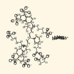 CC1(C)C(/C=C/C(=C/C=C2/N(CCCCS(=O)(=O)[O-])c3ccc4c(S(=O)(=O)[O-])cc(S(=O)(=O)[O-])cc4c3C2(C)C)c2cccc(CCC(=O)ON3C(=O)CCC3=O)c2)=[N+](CCCCS(=O)(=O)[O-])c2ccc3c(S(=O)(=O)[O-])cc(S(=O)(=O)[O-])cc3c21.[Na+].[Na+].[Na+].[Na+].[Na+]